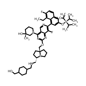 CCc1c(F)ccc2cc(O[Si](C(C)C)(C(C)C)C(C)C)cc(-c3ncc4c(N5CCC[C@@](C)(O)C5)nc(OC[C@@]56CCCN5[C@H](CNCC5CCC(CO)CC5)CC6)nc4c3F)c12